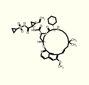 C=C[C@@H]1C[C@]1(NC(=O)[C@@H]1C[C@@H]2CN1C(=O)[C@H](C1CCCCC1)NCCCC(C)(C)C/C=C/c1cc3c(nccc3cc1OC)O2)C(=O)NS(=O)(=O)C1CC1